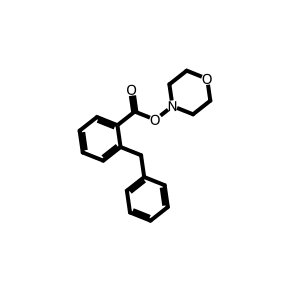 O=C(ON1CCOCC1)c1ccccc1Cc1ccccc1